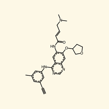 C#Cc1cc(C)cc(Nc2ncnc3cc(OC4CCOC4)c(NC(=O)/C=C/CN(C)C)cc23)c1